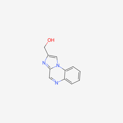 OCc1cn2c(cnc3ccccc32)n1